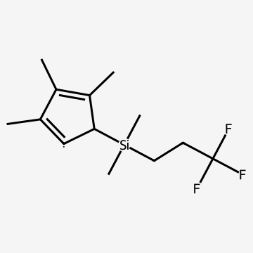 CC1=[C]C([Si](C)(C)CCC(F)(F)F)C(C)=C1C